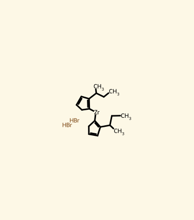 Br.Br.CCC(C)C1=[C]([Zr][C]2=C(C(C)CC)C=CC2)CC=C1